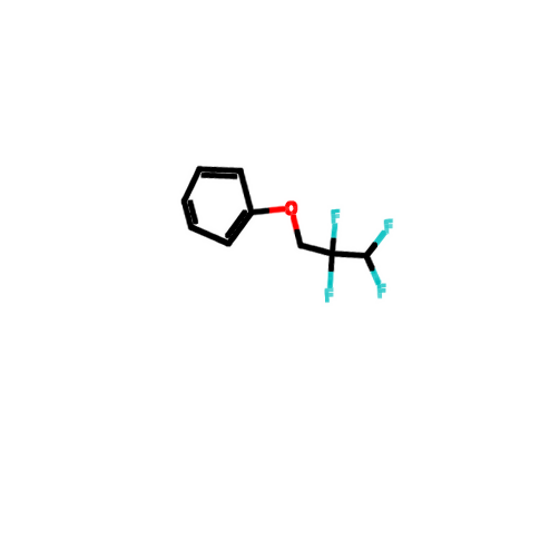 FC(F)C(F)(F)COc1ccccc1